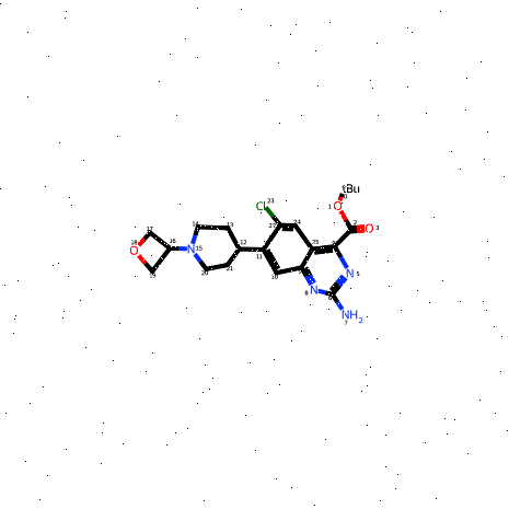 CC(C)(C)OC(=O)c1nc(N)nc2cc(C3CCN(C4COC4)CC3)c(Cl)cc12